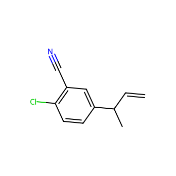 C=C[C](C)c1ccc(Cl)c(C#N)c1